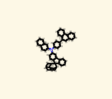 c1ccc2c(c1)-c1cc(N(c3ccc(-c4cc5ccccc5c5ccccc45)cc3)c3ccc4ccccc4c3)ccc1C21C2CC3CC(C2)CC1C3